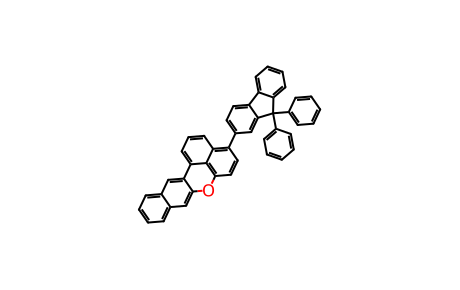 c1ccc(C2(c3ccccc3)c3ccccc3-c3ccc(-c4ccc5c6c(cccc46)-c4cc6ccccc6cc4O5)cc32)cc1